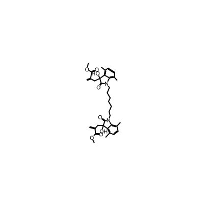 C=C(CC1(O)C(=O)N(CCCCCCCN2C(=O)C(O)(CC(=C)C(=O)OC)c3c(C)ccc(C)c32)c2c(C)ccc(C)c21)C(=O)OC